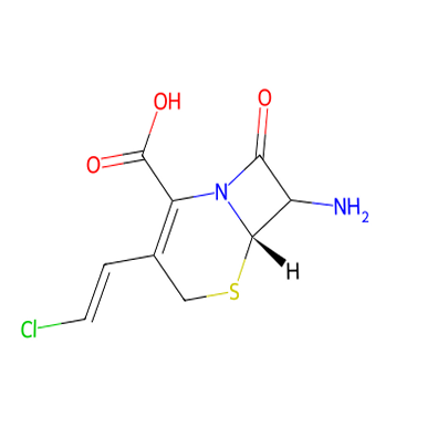 NC1C(=O)N2C(C(=O)O)=C(/C=C/Cl)CS[C@@H]12